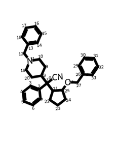 N#CC(c1ccccc1)(C1CCN(Cc2ccccc2)CC1)C1CCCC1OCc1ccccc1